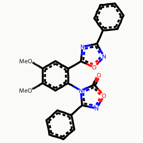 COc1cc(-c2nc(-c3ccccc3)no2)c(-n2c(-c3ccccc3)noc2=O)cc1OC